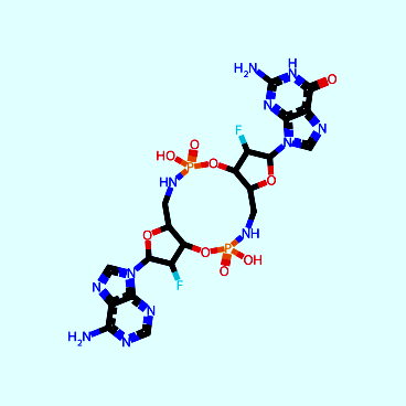 Nc1nc2c(ncn2C2OC3CNP(=O)(O)OC4C(CNP(=O)(O)OC3C2F)OC(n2cnc3c(N)ncnc32)C4F)c(=O)[nH]1